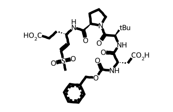 CC(C)(C)[C@@H](NC(=O)[C@H](CC(=O)O)NC(=O)OCc1ccccc1)C(=O)N1CCC[C@@H]1C(=O)N[C@H](/C=C/S(C)(=O)=O)CCC(=O)O